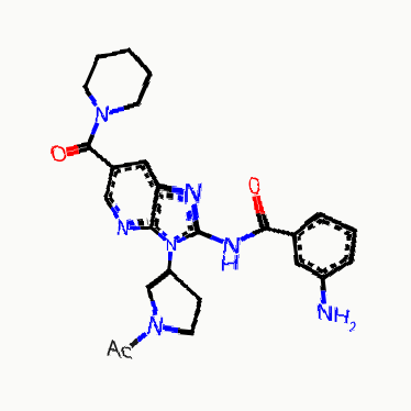 CC(=O)N1CCC(n2c(NC(=O)c3cccc(N)c3)nc3cc(C(=O)N4CCCCC4)cnc32)C1